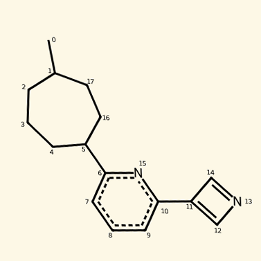 CC1CCCC(c2cccc(C3=CN=C3)n2)CC1